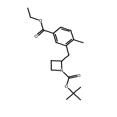 CCOC(=O)c1ccc(C)c(CC2CCN2C(=O)OC(C)(C)C)c1